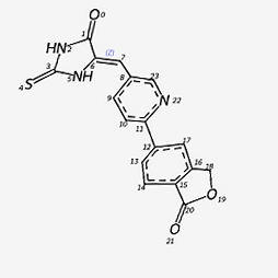 O=C1NC(=S)N/C1=C\c1ccc(-c2ccc3c(c2)COC3=O)nc1